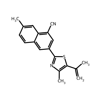 C=C(C)c1sc(-c2cc(C#N)c3cc(C)ccc3c2)nc1C